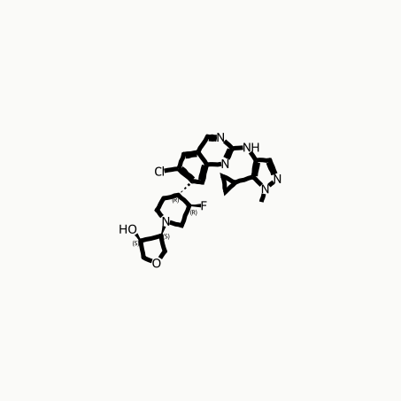 Cn1ncc(Nc2ncc3cc(Cl)c([C@H]4CCN([C@H]5COC[C@H]5O)C[C@@H]4F)cc3n2)c1C1CC1